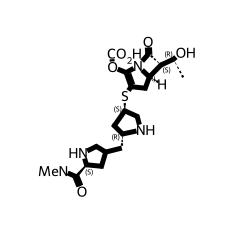 CNC(=O)[C@@H]1CC(C[C@@H]2C[C@H](SC3=C(OC(=O)O)N4C(=O)[C@H]([C@@H](C)O)[C@H]4C3)CN2)CN1